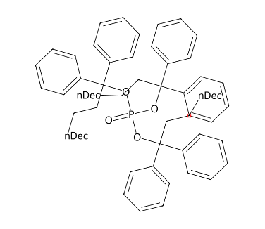 CCCCCCCCCCCCC(OP(=O)(OC(CCCCCCCCCCCC)(c1ccccc1)c1ccccc1)OC(CCCCCCCCCCCC)(c1ccccc1)c1ccccc1)(c1ccccc1)c1ccccc1